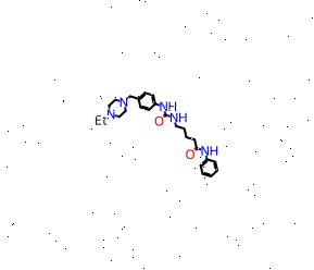 CCN1CCN(Cc2ccc(NC(=O)NCCCCC(=O)Nc3ccccc3)cc2)CC1